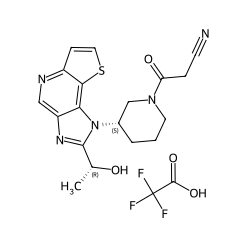 C[C@@H](O)c1nc2cnc3ccsc3c2n1[C@H]1CCCN(C(=O)CC#N)C1.O=C(O)C(F)(F)F